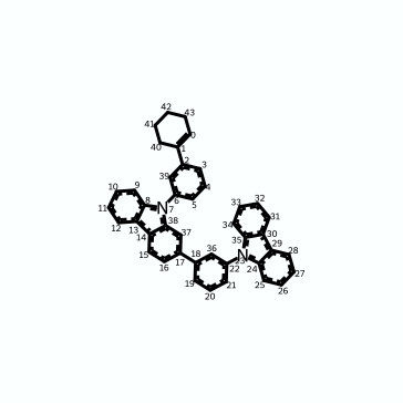 C1=C(c2cccc(-n3c4ccccc4c4ccc(-c5cccc(-n6c7ccccc7c7ccccc76)c5)cc43)c2)CCCC1